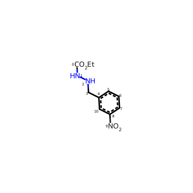 CCOC(=O)NNCc1cccc([N+](=O)[O-])c1